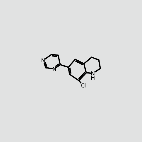 Clc1cc(-c2ccncn2)cc2c1NCCC2